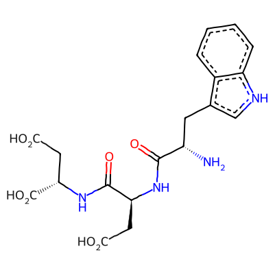 N[C@@H](Cc1c[nH]c2ccccc12)C(=O)N[C@@H](CC(=O)O)C(=O)N[C@@H](CC(=O)O)C(=O)O